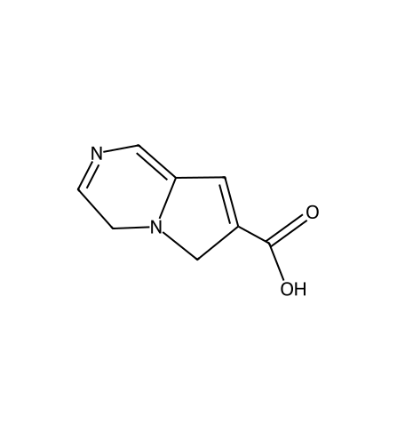 O=C(O)C1=CC2=CN=CCN2C1